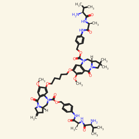 C=C1C[C@H]2CN(C(=O)OCc3ccc(NC(=O)[C@H](C)NC(=O)[C@@H](N)C(C)C)cc3)c3cc(OCCCCCOc4cc5c(cc4OC)C(=O)N4CC(C)(C)C[C@H]4CN5C(=O)OCc4ccc(NC(=O)[C@H](C)NC(=O)[C@@H](N)C(C)C)cc4)c(OC)cc3C(=O)N2C1